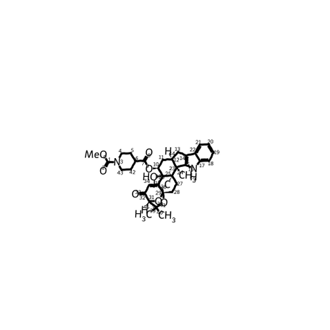 COC(=O)N1CCC(C(=O)O[C@H]2C[C@H]3Cc4c([nH]c5ccccc45)[C@]3(C)[C@@]3(C)CC[C@@]45O[C@@H](C(=O)C=C4[C@]23O)C(C)(C)O5)CC1